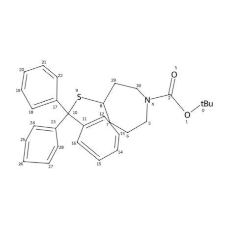 CC(C)(C)OC(=O)N1CCCC(SC(c2ccccc2)(c2ccccc2)c2ccccc2)CC1